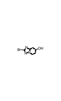 Oc1ccn2nc(Br)nc2c1